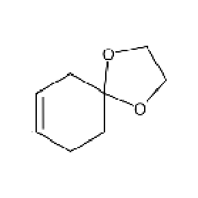 [C]1=CCC2(CC1)OCCO2